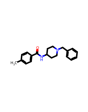 Cc1ccc(C(=O)NC2CCN(Cc3ccccc3)CC2)cc1